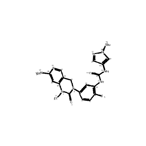 CCN1C(=O)N(c2ccc(F)c(NC(=O)Nc3cnn(C(C)(C)C)c3)c2)Cc2cnc(NC)cc21